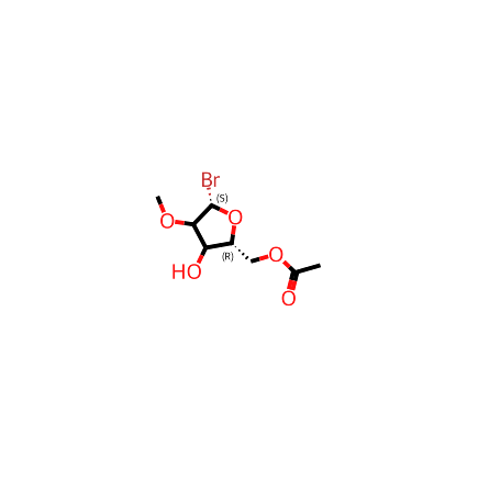 COC1C(O)[C@@H](COC(C)=O)O[C@H]1Br